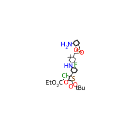 CCOC(=O)COc1c(C(=O)OC(C)(C)C)sc(-c2ccc(F)c(N[C@H]3CCC(CCS(=O)(=O)Cc4cccc(N)c4)C(C)(C)C3)c2)c1Cl